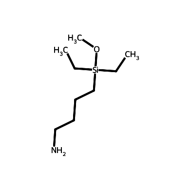 CC[Si](CC)(CCCCN)OC